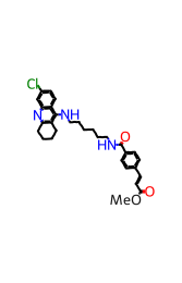 COC(=O)C=Cc1ccc(C(=O)NCCCCCCNc2c3c(nc4cc(Cl)ccc24)CCCC3)cc1